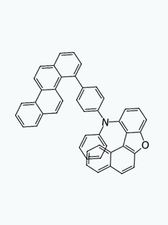 c1ccc(N(c2ccc(-c3cccc4ccc5c6ccccc6ccc5c34)cc2)c2cccc3oc4ccc5ccccc5c4c23)cc1